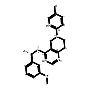 COc1cccc([C@H](C)Nc2ncnc3c2CN(c2ccc(C)cn2)CC3)c1